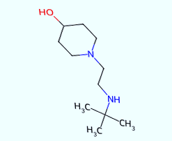 CC(C)(C)NCCN1CCC(O)CC1